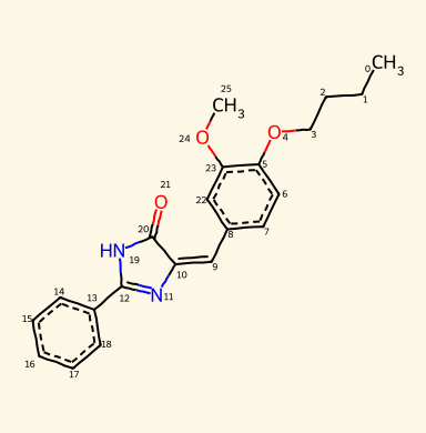 CCCCOc1ccc(C=C2N=C(c3ccccc3)NC2=O)cc1OC